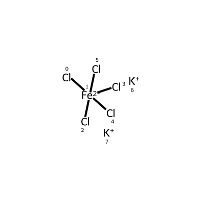 [Cl][Fe-2]([Cl])([Cl])([Cl])[Cl].[K+].[K+]